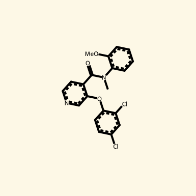 COc1ccccc1N(C)C(=O)c1ccncc1Oc1ccc(Cl)cc1Cl